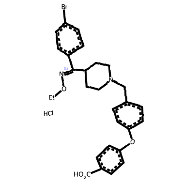 CCO/N=C(/c1ccc(Br)cc1)C1CCN(Cc2ccc(Oc3ccc(C(=O)O)cc3)cc2)CC1.Cl